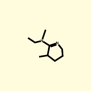 CCN(C)C1=NCCCC1C